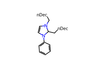 CCCCCCCCCCCC1N(CCCCCCCCCCC)C=CN1c1ccccc1